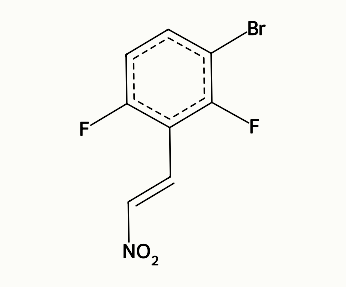 O=[N+]([O-])/C=C/c1c(F)ccc(Br)c1F